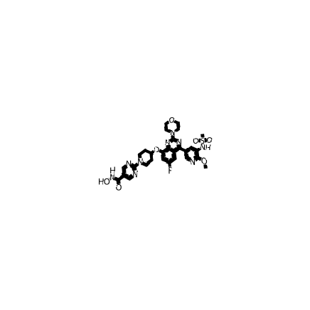 COc1ncc(-c2nc(N3CCOCC3)nc3c(OC4CCN(c5ncc(C(=O)NO)cn5)CC4)cc(F)cc23)cc1NS(C)(=O)=O